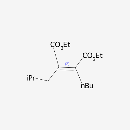 CCCC/C(C(=O)OCC)=C(\CC(C)C)C(=O)OCC